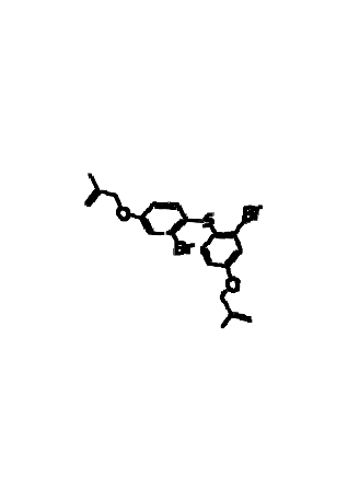 C=C(C)COc1ccc(Sc2ccc(OCC(=C)C)cc2Br)c(Br)c1